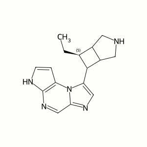 CC[C@H]1C2CNCC2C1c1cnc2cnc3[nH]ccc3n12